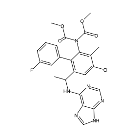 COC(=O)N(C(=O)OC)c1c(C)c(Cl)cc(C(C)Nc2ncnc3[nH]cnc23)c1-c1cccc(F)c1